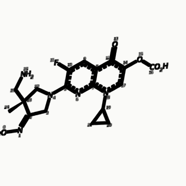 CON=C1CN(c2nc3c(cc2F)c(=O)c(OC(=O)O)cn3C2CC2)C[C@@]1(C)CN